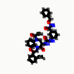 Cc1ccccc1C(=O)CN1C(=O)C(NC(=O)Nc2cccc(C(=O)NOCc3ccccc3)c2)CN(C(=O)C(C)(C)C)c2ccccc21